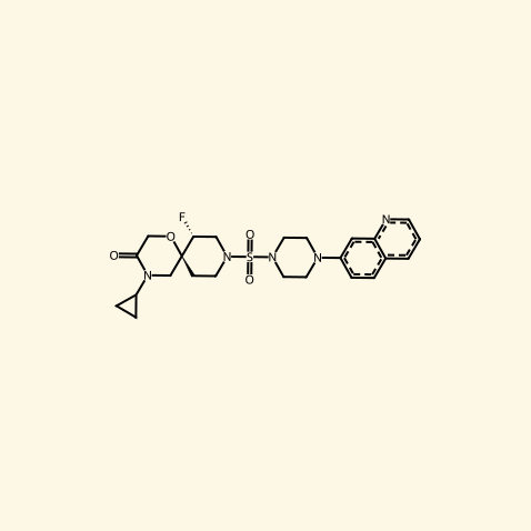 O=C1CO[C@@]2(CCN(S(=O)(=O)N3CCN(c4ccc5cccnc5c4)CC3)C[C@H]2F)CN1C1CC1